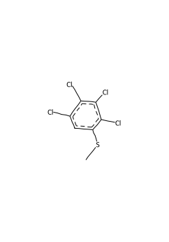 CSc1cc(Cl)c(Cl)c(Cl)c1Cl